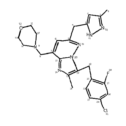 Cc1cc(Cc2cc(CN3CCOCC3)c3nc(C)c(Cc4ccc(Cl)cc4F)n3n2)[nH]n1